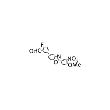 COc1ccc(-c2nc3cc(-c4ccc(F)c(C=O)c4)ccc3o2)cc1[N+](=O)[O-]